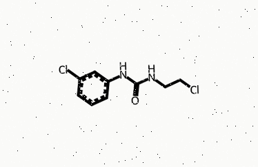 O=C(NCCCl)Nc1cccc(Cl)c1